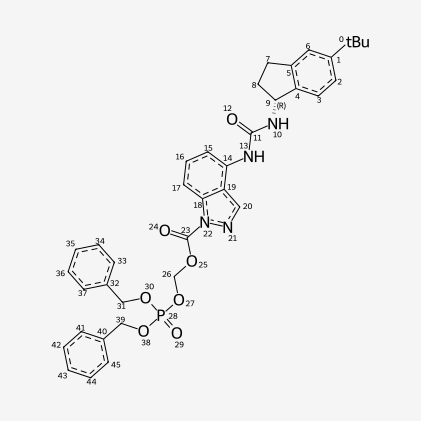 CC(C)(C)c1ccc2c(c1)CC[C@H]2NC(=O)Nc1cccc2c1cnn2C(=O)OCOP(=O)(OCc1ccccc1)OCc1ccccc1